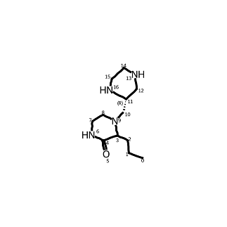 CCCC1C(=O)NCCN1C[C@H]1CNCCN1